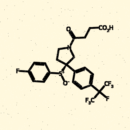 O=C(O)CCC(=O)N1CC[C@](c2ccc(C(F)(C(F)(F)F)C(F)(F)F)cc2)([S+]([O-])c2ccc(F)cc2)C1